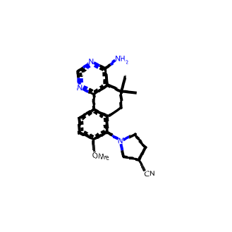 COc1ccc2c(c1N1CCC(C#N)C1)CC(C)(C)c1c(N)ncnc1-2